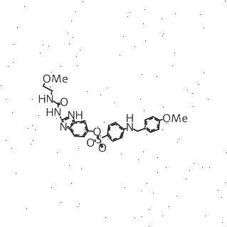 COCCNC(=O)Nc1nc2ccc(OS(=O)(=O)c3ccc(NCc4ccc(OC)cc4)cc3)cc2[nH]1